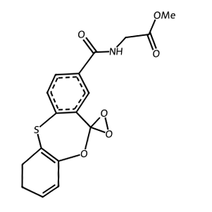 COC(=O)CNC(=O)c1ccc2c(c1)C1(OO1)OC1=C(CCC=C1)S2